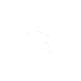 CC1(C)O[C@@H](C(=O)O)[C@H](C(=O)N2CCCC2c2cccc(N3CCCCC3)c2)O1